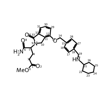 COC(=O)CCC(C(N)=O)N1Cc2c(OCc3ccc(CNC4CCCCC4)cc3)cccc2C1=O